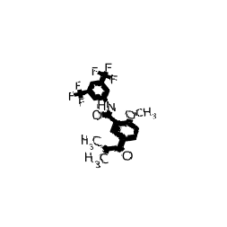 COc1ccc(C(=O)C(C)C)cc1C(=O)Nc1cc(C(F)(F)F)cc(C(F)(F)F)c1